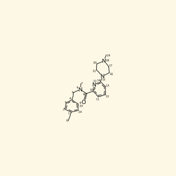 Cc1ccc(CN(C)C(=O)c2cccc(N3CCN(C)CC3)n2)cc1